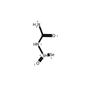 NC(=O)N[SH](=O)=[Se]